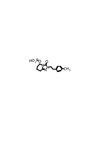 Cc1ccc(CCn2nc3n(c2=O)[C@@H](OC(=O)O)CCC3)cc1